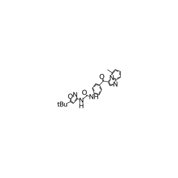 Cc1cccc2ncc(C(=O)c3ccc(NC(=O)Nc4cc(C(C)(C)C)on4)cc3)n12